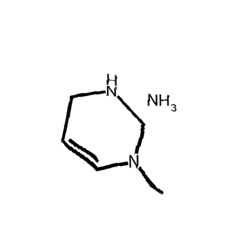 CN1C=CCNC1.N